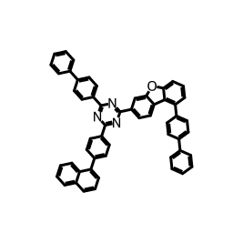 c1ccc(-c2ccc(-c3nc(-c4ccc(-c5cccc6ccccc56)cc4)nc(-c4ccc5c(c4)oc4cccc(-c6ccc(-c7ccccc7)cc6)c45)n3)cc2)cc1